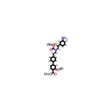 COC(=O)c1ccc(-c2ccc(CCN(C[C@@H](O)c3cccc(N)c3)C(=O)OC(C)(C)C)cc2)cc1OC(C)C